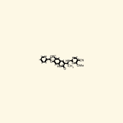 COc1nc(N[C@@H](C)c2cc3cc(Cl)c(O[C@H](C)c4ccccn4)cc3[nH]c2=O)ncc1C#N